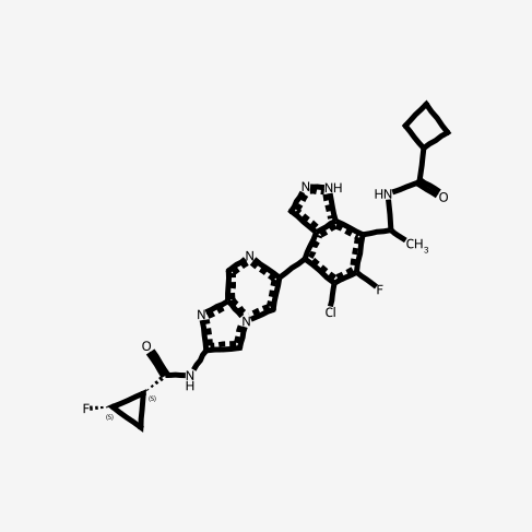 CC(NC(=O)C1CCC1)c1c(F)c(Cl)c(-c2cn3cc(NC(=O)[C@@H]4C[C@@H]4F)nc3cn2)c2cn[nH]c12